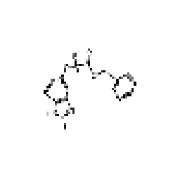 Cc1nc2cc(OC(F)(F)C(=O)OCc3ccccc3)ccc2[nH]1